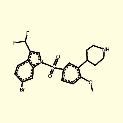 COc1ccc(S(=O)(=O)n2cc(C(F)F)c3ccc(Br)cc32)cc1C1CCNCC1